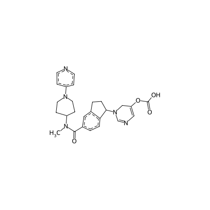 CN(C(=O)c1ccc2c(c1)CCC2N1C=NC=C(OC(=O)O)C1)C1CCN(c2ccncc2)CC1